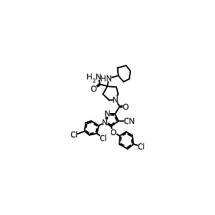 N#Cc1c(C(=O)N2CCC(NC3CCCCC3)(C(N)=O)CC2)nn(-c2ccc(Cl)cc2Cl)c1Oc1ccc(Cl)cc1